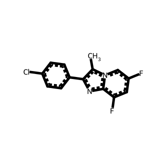 Cc1c(-c2ccc(Cl)cc2)nc2c(F)cc(F)cn12